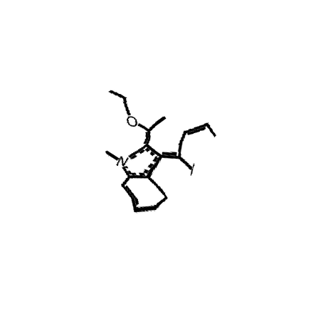 C\C=C/C(I)=c1/c2c(n(C)/c1=C(/C)OCC)C=CCC2